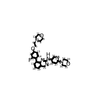 Fc1cc(OCCN2CCOCC2)ccc1-c1cccc2cnc(Nc3ccc(N4CCOCC4)nc3)nc12